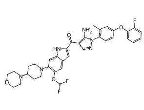 Cc1cc(Oc2ccccc2F)ccc1-n1ncc(C(=O)c2cc3cc(OC(F)F)c(N4CCC(N5CCOCC5)CC4)cc3[nH]2)c1N